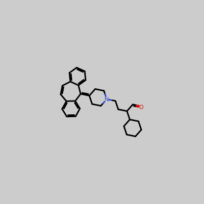 O=CC(CCN1CCC(=C2c3ccccc3C=Cc3ccccc32)CC1)C1CCCCC1